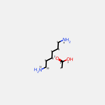 CC(=O)O.NCCCCCCN